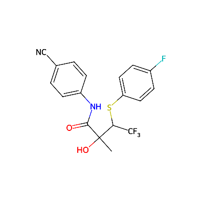 CC(O)(C(=O)Nc1ccc(C#N)cc1)C(Sc1ccc(F)cc1)C(F)(F)F